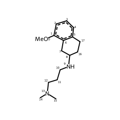 COc1cccc2c1CC(NCCCN(C)C)CC2